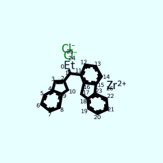 CCC(C1=Cc2ccccc2C1)c1cccc2c1Cc1ccccc1-2.[Cl-].[Cl-].[Zr+2]